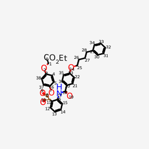 CCOC(=O)COc1ccc(OS(=O)(=O)c2ccccc2NC(=O)c2ccc(OCCCCc3ccccc3)cc2)cc1